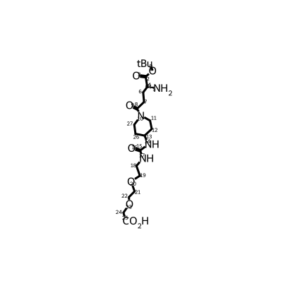 CC(C)(C)OC(=O)[C@@H](N)CCC(=O)N1CCC(NC(=O)NCCOCCOCC(=O)O)CC1